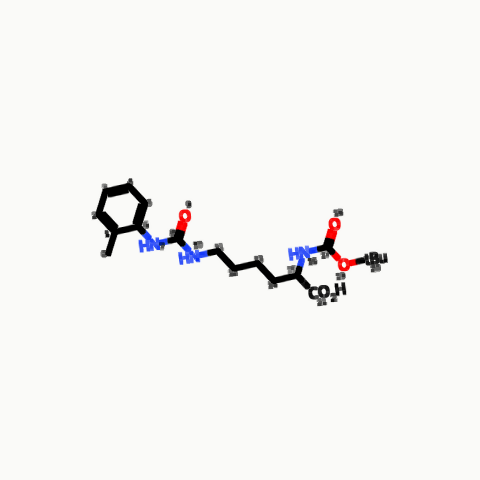 Cc1ccccc1NC(=O)NCCCCC(NC(=O)OC(C)(C)C)C(=O)O